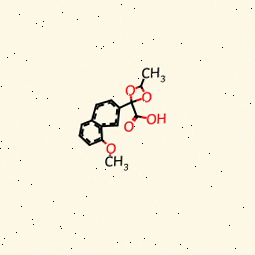 COc1cccc2ccc(C3(C(=O)O)OC(C)O3)cc12